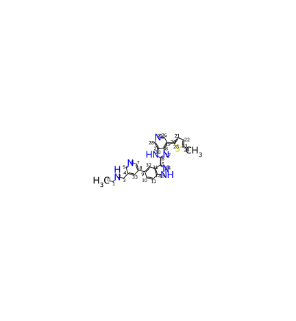 CCNCc1cncc(-c2ccc3[nH]nc(-c4nc5c(-c6ccc(C)s6)cncc5[nH]4)c3c2)c1